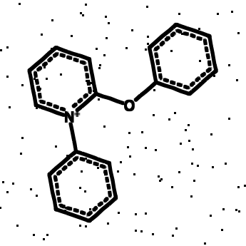 c1ccc(Oc2cccc[n+]2-c2ccccc2)cc1